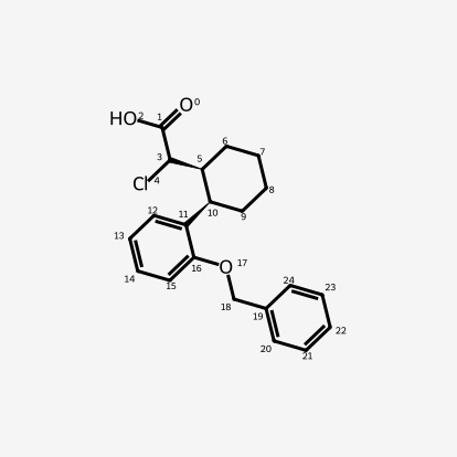 O=C(O)C(Cl)[C@H]1CCCC[C@H]1c1ccccc1OCc1ccccc1